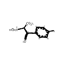 CCCCCCCCC(C(=O)O)C(=O)c1ccc(C)cc1